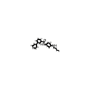 CCCCNc1ccc(NC(=O)c2cccc(-c3ccncc3)c2)cc1